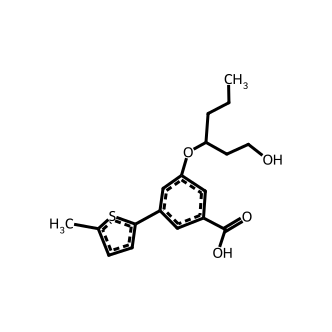 CCCC(CCO)Oc1cc(C(=O)O)cc(-c2ccc(C)s2)c1